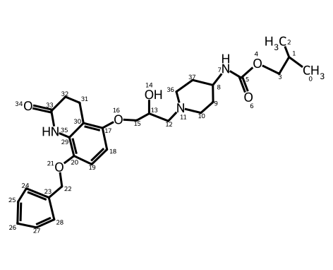 CC(C)COC(=O)NC1CCN(CC(O)COc2ccc(OCc3ccccc3)c3c2CCC(=O)N3)CC1